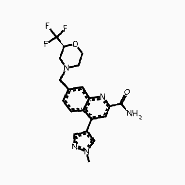 Cn1cc(-c2cc(C(N)=O)nc3cc(CN4CCO[C@H](C(F)(F)F)C4)ccc23)cn1